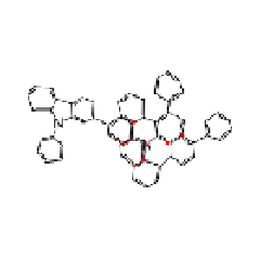 c1ccc(-c2ccc(-c3ccccc3N(c3ccc(-c4ccc5c6ccccc6n(-c6ccccc6)c5c4)cc3)c3cccc(-c4ccccc4)c3-c3ccccc3-c3ccccc3)cc2)cc1